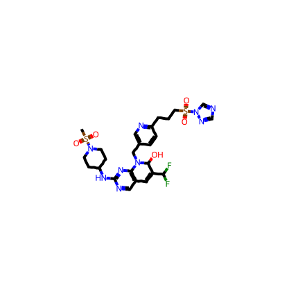 CS(=O)(=O)N1CCC(Nc2ncc3c(n2)N(Cc2ccc(CCCS(=O)(=O)n4cncn4)nc2)C(O)C(C(F)F)=C3)CC1